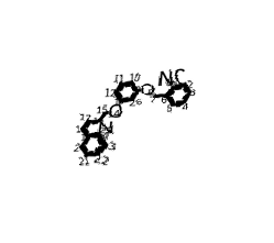 N#Cc1ccccc1COc1cccc(OCc2ccc3ccccc3n2)c1